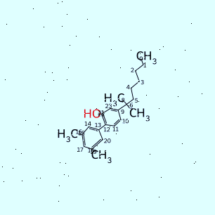 CCCCCCC(C)(C)c1ccc(-c2cc(C)cc(C)c2)c(O)c1